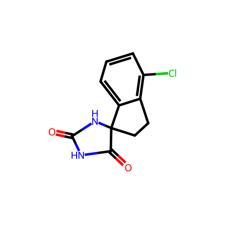 O=C1NC(=O)C2(CCc3c(Cl)cccc32)N1